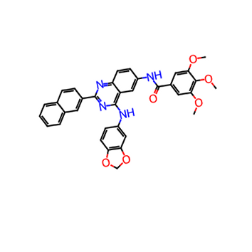 COc1cc(C(=O)Nc2ccc3nc(-c4ccc5ccccc5c4)nc(Nc4ccc5c(c4)OCO5)c3c2)cc(OC)c1OC